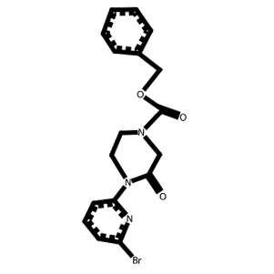 O=C(OCc1ccccc1)N1CCN(c2cccc(Br)n2)C(=O)C1